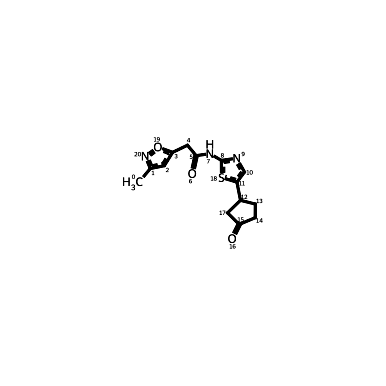 Cc1cc(CC(=O)Nc2ncc(C3CCC(=O)C3)s2)on1